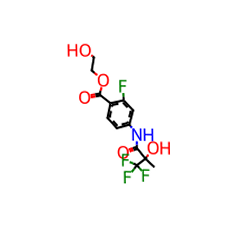 CC(O)(C(=O)Nc1ccc(C(=O)OCCO)c(F)c1)C(F)(F)F